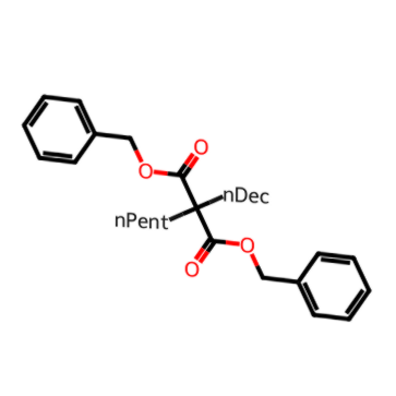 CCCCCCCCCCC(CCCCC)(C(=O)OCc1ccccc1)C(=O)OCc1ccccc1